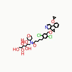 O=C(CCCCc1cc(Cl)c(COC2(c3cnccc3-c3ccccc3OC3CC3)CC2)cc1Cl)N(C[C@H](O)[C@@H](O)[C@H](O)[C@H](O)CO)C1CCOCC1